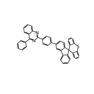 c1ccc(-c2nc(-c3ccc(-c4ccc5c(c4)-c4ccccc4C54c5ccccc5Sc5ccccc54)cc3)nc3ccccc23)cc1